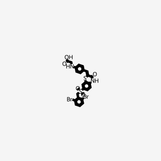 O=C(O)CNc1ccc(C=C2Sc3cc(S(=O)(=O)Cc4c(Br)cccc4Br)ccc3NC2=O)cc1